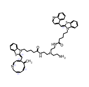 C=C1/C=C\C=C/C\N=C/C=C1/C=C1\Sc2ccccc2N1CCCCC(=O)NCCN(CCN)CCNC(=O)CCCCN1/C(=C/c2ccnc3ccccc23)Sc2ccccc21